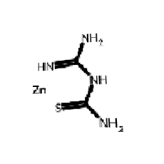 N=C(N)NC(N)=S.[Zn]